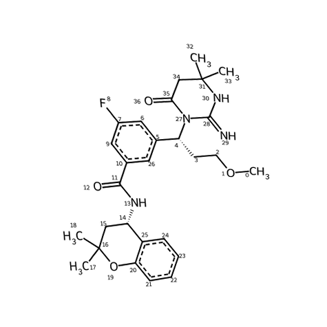 COCC[C@H](c1cc(F)cc(C(=O)N[C@H]2CC(C)(C)Oc3ccccc32)c1)N1C(=N)NC(C)(C)CC1=O